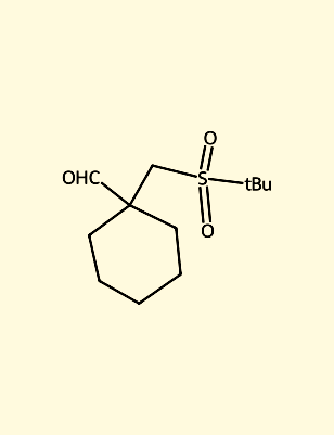 CC(C)(C)S(=O)(=O)CC1(C=O)CCCCC1